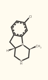 C[C@H]1CNC[C@@H]2Cc3ccc(Cl)cc3N21